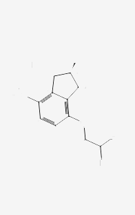 O[C@H]1c2c(C(F)(F)F)ccc(OCC(F)F)c2C[C@@H]1F